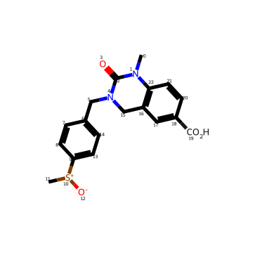 CN1C(=O)N(Cc2ccc([S+](C)[O-])cc2)Cc2cc(C(=O)O)ccc21